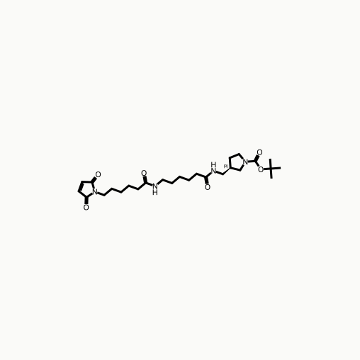 CC(C)(C)OC(=O)N1CC[C@H](CNC(=O)CCCCCNC(=O)CCCCCN2C(=O)C=CC2=O)C1